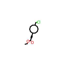 CCOC(=O)C#CC1CCCCC(CCl)CCCC1